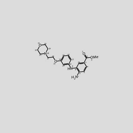 COC(=O)c1ccc(N)c(Nc2cccc(OCCN3CCOCC3)c2)c1